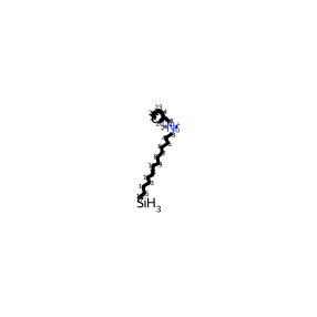 C[N+](C)(CCCCCCCCCCCCCC[SiH3])Cc1ccccc1